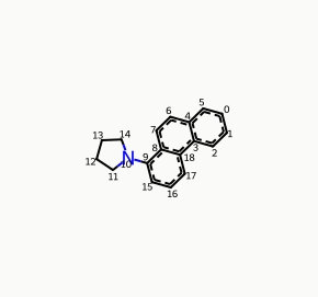 c1ccc2c(c1)ccc1c(N3CCCC3)cccc12